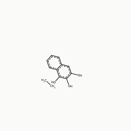 CC.Oc1cc2ccccc2c(O)c1O